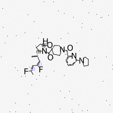 C=C(/C=C(F)\C=C(/C)F)[C@@H]1CC[C@H]2OC3(CCN(C(=O)c4cccc(N5CCCC5)n4)CC3)C(=O)N21